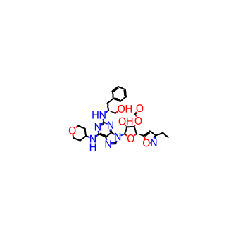 CCc1cc([C@H]2O[C@@H](n3cnc4c(NC5CCOCC5)nc(N[C@H](CO)Cc5ccccc5)nc43)[C@H](O)[C@@H]2OC=O)on1